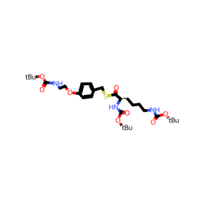 CC(C)(C)OC(=O)NCCCC[C@H](NC(=O)OC(C)(C)C)C(=O)SCc1ccc(OCCNC(=O)OC(C)(C)C)cc1